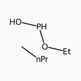 CCCC.CCOPO